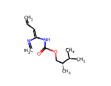 C=C/C=C(\N=C)NC(=O)OC[C@@H](C)C(C)C